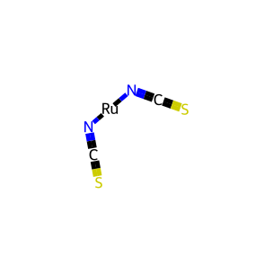 S=C=[N][Ru][N]=C=S